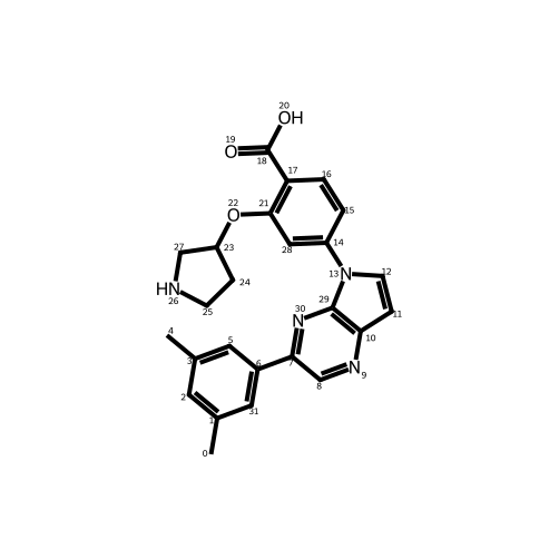 Cc1cc(C)cc(-c2cnc3ccn(-c4ccc(C(=O)O)c(OC5CCNC5)c4)c3n2)c1